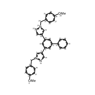 COc1ccc(Cn2cc(-c3cc(-c4ccccc4)cc(-c4cnn(Cc5ccc(OC)cc5)c4)c3)cn2)cc1